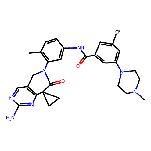 Cc1ccc(NC(=O)c2cc(N3CCN(C)CC3)cc(C(F)(F)F)c2)cc1N1Cc2cnc(N)nc2C2(CC2)C1=O